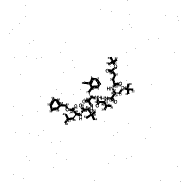 Cc1ccccc1C[C@H](NC(=O)[C@H](NC(=O)[C@H](COC(C)(C)C)NC(=O)CCC(=O)OC(C)(C)C)C(C)C)C(=O)N[C@H](C(=O)N[C@@H](CC(C)C)C(=O)OCc1ccccc1)C(C)(C)C